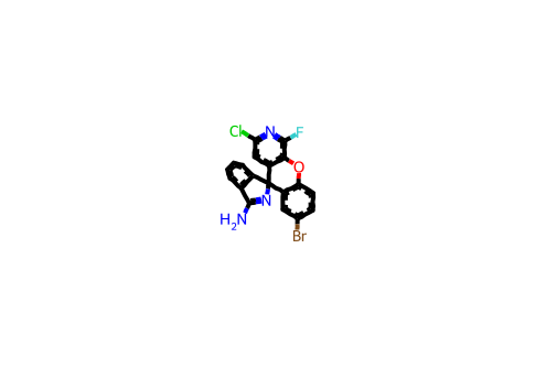 NC1=NC2(c3cc(Br)ccc3Oc3c2cc(Cl)nc3F)c2ccccc21